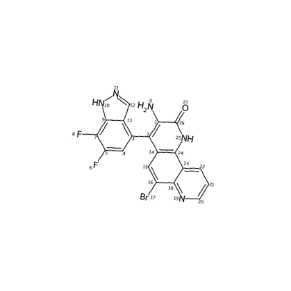 Nc1c(-c2cc(F)c(F)c3[nH]ncc23)c2cc(Br)c3ncccc3c2[nH]c1=O